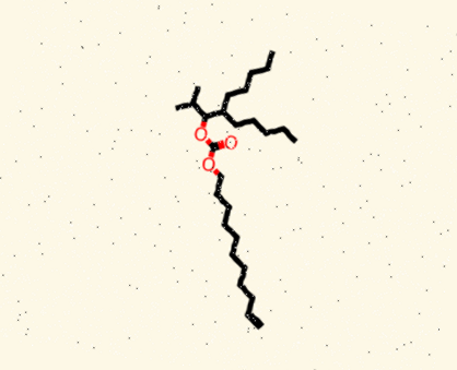 C=CCCCCCCCCCOC(=O)OC(C(C)C)C(CCCCC)CCCCC